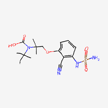 CC(C)(C)N(C(=O)O)C(C)(C)COc1cccc(NS(N)(=O)=O)c1C#N